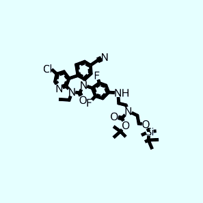 CCN1C(=O)N(c2c(F)cc(NCCN(CCO[Si](C)(C)C(C)(C)C)C(=O)OC(C)(C)C)cc2F)c2cc(C#N)ccc2-c2cc(Cl)cnc21